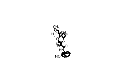 COCC(C)(C)COc1noc(C(=O)N[C@]23CC4CC(C[C@@](O)(C4)C2)C3)c1SC1CCC1